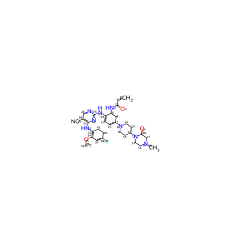 C=CC(=O)NC1CC(N2CCC(N3CCN(C)CC3=O)CC2)=CC=C1Nc1ncc(C#N)c(NC2=C(OC(C)C)C=C(F)CC2)n1